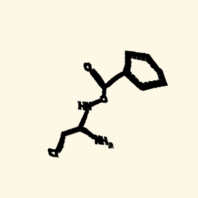 NC(CCl)NOC(=O)c1ccccc1